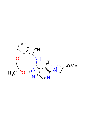 COC1CN(c2ncc3nc4nc(c3c2C(F)(F)F)N[C@H](C)c2ccccc2OC[C@@H](C)O4)C1